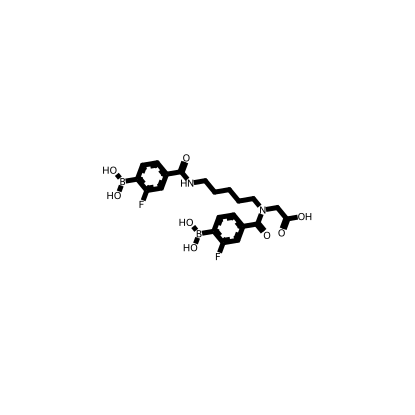 O=C(O)CN(CCCCCNC(=O)c1ccc(B(O)O)c(F)c1)C(=O)c1ccc(B(O)O)c(F)c1